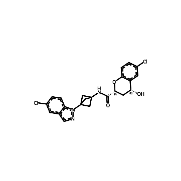 O=C(NC12CC(n3ncc4cc(Cl)ccc43)(C1)C2)[C@H]1C[C@@H](O)c2cc(Cl)ccc2O1